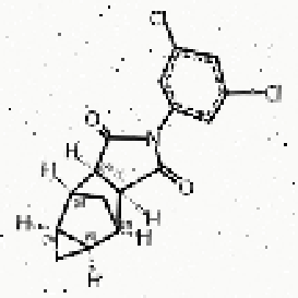 O=C1[C@@H]2[C@H]3C[C@H]([C@H]4C[C@H]43)[C@@H]2C(=O)N1c1cc(Cl)cc(Cl)c1